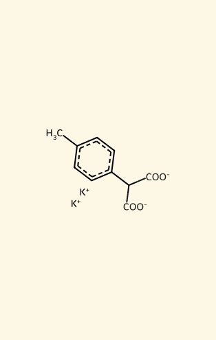 Cc1ccc(C(C(=O)[O-])C(=O)[O-])cc1.[K+].[K+]